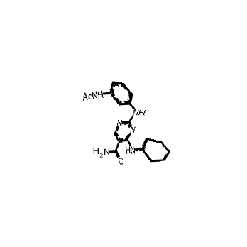 CC(=O)Nc1cccc(Nc2ncc(C(N)=O)c(NC3CCCCC3)n2)c1